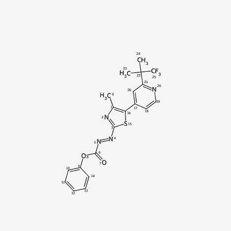 Cc1nc(N=NC(=O)Oc2ccccc2)sc1-c1ccnc(C(C)(C)C(F)(F)F)c1